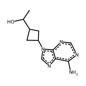 CC(O)C1CC(n2cnc3c(N)ncnc32)C1